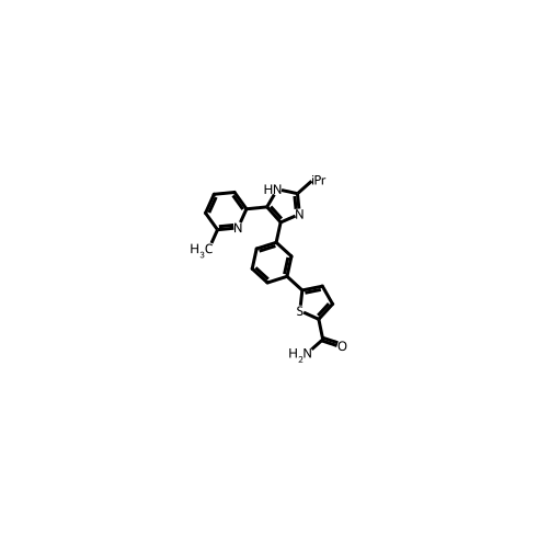 Cc1cccc(-c2[nH]c(C(C)C)nc2-c2cccc(-c3ccc(C(N)=O)s3)c2)n1